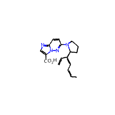 C=C/C(=C\C=C/C)C1CCCN1c1ccc2ncc(C(=O)O)n2n1